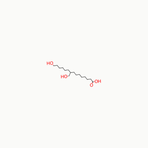 O=C(O)CCCCCCCC(CO)CCCCCCO